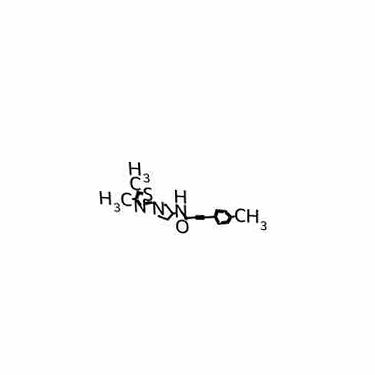 Cc1ccc(C#CC(=O)NC2CCN(c3nc(C)c(C)s3)C2)cc1